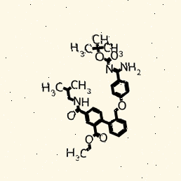 CCOC(=O)c1cc(C(=O)NCC(C)C)ccc1-c1ccccc1COc1ccc(C(N)=NC(=O)OC(C)(C)C)cc1